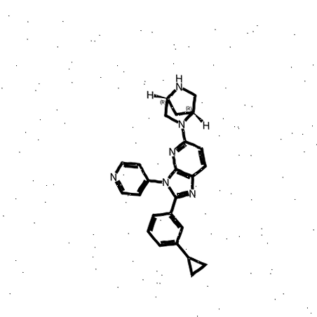 c1cc(-c2nc3ccc(N4C[C@H]5C[C@@H]4CN5)nc3n2-c2ccncc2)cc(C2CC2)c1